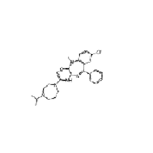 CC(C)N1CCCN(C(=S)NC2N=C(c3ccccc3)c3cc(Cl)ccc3N(C)C2=O)CC1